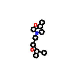 c1ccc(-c2cc3c4cc(-c5ccc(N(c6ccccc6)c6cccc7oc8c9ccccc9ccc8c67)cc5)ccc4oc3c3ccccc23)cc1